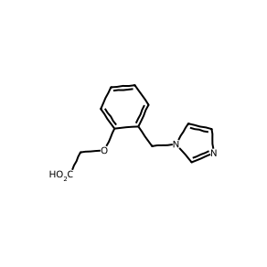 O=C(O)COc1ccccc1Cn1ccnc1